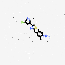 Cc1cc(Cc2nc(-c3cncc(F)c3)cs2)c(C)cc1N